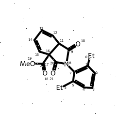 CCc1cccc(CC)c1N1C(=O)C2C=CC=CC2(C(=O)OC)C1=O